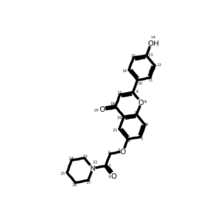 O=C(COc1ccc2oc(-c3ccc(O)cc3)cc(=O)c2c1)N1CCCCC1